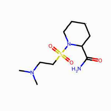 CN(C)CCS(=O)(=O)N1CC[CH]CC1C(N)=O